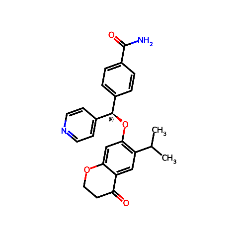 CC(C)c1cc2c(cc1O[C@@H](c1ccncc1)c1ccc(C(N)=O)cc1)OCCC2=O